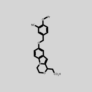 CC(C)Oc1ccc(COc2ccc3c(c2)cc2n3CCOC2CC(=O)O)cc1C#N